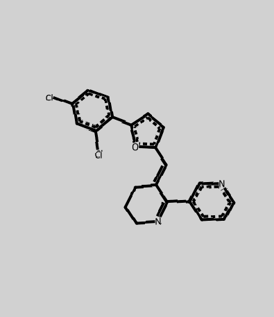 Clc1ccc(-c2ccc(C=C3CCCN=C3c3cccnc3)o2)c(Cl)c1